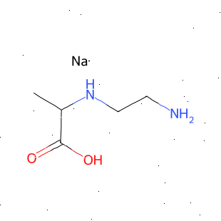 CC(NCCN)C(=O)O.[Na]